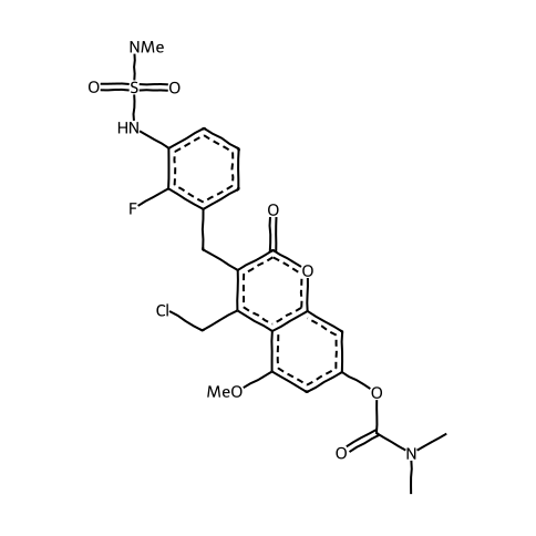 CNS(=O)(=O)Nc1cccc(Cc2c(CCl)c3c(OC)cc(OC(=O)N(C)C)cc3oc2=O)c1F